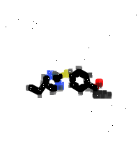 C=Cc1cnc(Sc2ccc(C(=O)OC)cc2)nc1